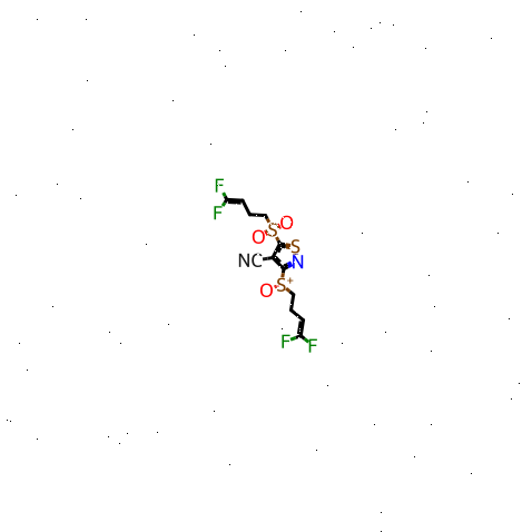 N#Cc1c([S+]([O-])CCC=C(F)F)nsc1S(=O)(=O)CCC=C(F)F